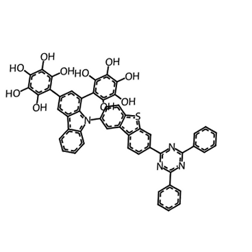 Oc1c(O)c(O)c(-c2cc(-c3c(O)c(O)c(O)c(O)c3O)c3c(c2)c2ccccc2n3-c2ccc3sc4cc(-c5nc(-c6ccccc6)nc(-c6ccccc6)n5)ccc4c3c2)c(O)c1O